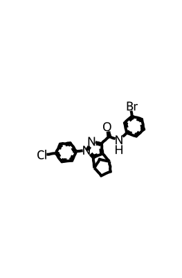 O=C(Nc1cccc(Br)c1)c1nn(-c2ccc(Cl)cc2)c2c1C1CCC2C1